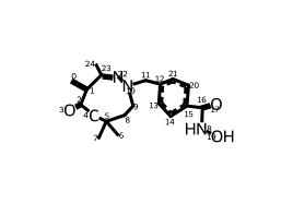 C=C1C(=O)CC(C)(C)CCN(Cc2ccc(C(=O)NO)cc2)/N=C\1C